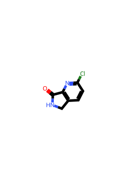 O=C1NCc2ccc(Cl)nc21